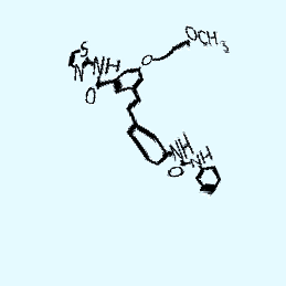 COCCCOc1cc(CCc2cccc(NC(=O)Nc3ccccc3)c2)cc(C(=O)Nc2nccs2)c1